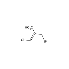 CC(C)C/C(=C/Cl)C(=O)O